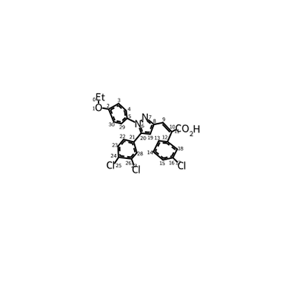 CCOc1ccc(-n2nc(C=C(C(=O)O)c3cccc(Cl)c3)cc2-c2ccc(Cl)c(Cl)c2)cc1